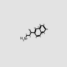 [CH2]C(CCN)c1ccc2ccccc2c1